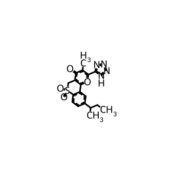 CCC(C)c1ccc2c(c1)-c1oc(-c3nnn[nH]3)c(C)c(=O)c1CS2(=O)=O